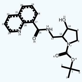 CC(C)(C)OC(=O)N1CCC(O)C1CNC(=O)c1cccc2cccnc12